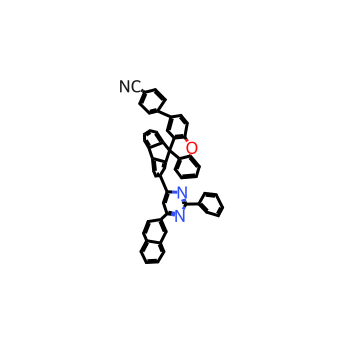 N#Cc1ccc(-c2ccc3c(c2)C2(c4ccccc4O3)c3ccccc3-c3ccc(-c4cc(-c5ccc6ccccc6c5)nc(-c5ccccc5)n4)cc32)cc1